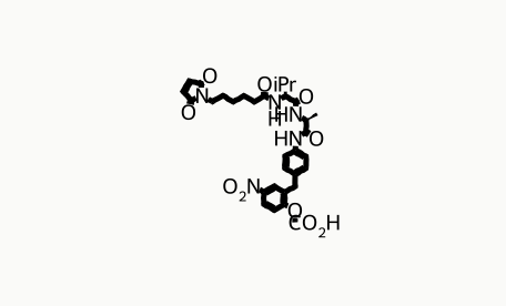 CC(C)[C@H](NC(=O)CCCCCN1C(=O)C=CC1=O)C(=O)N[C@@H](C)C(=O)Nc1ccc(Cc2cc([N+](=O)[O-])ccc2OC(=O)O)cc1